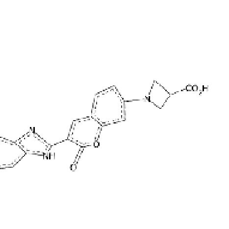 O=C(O)C1CN(c2ccc3cc(-c4nc5ccccc5[nH]4)c(=O)oc3c2)C1